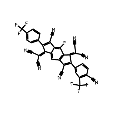 N#CC(C#N)=C1C(c2ccc(C(F)(F)F)cc2)=C(C#N)c2c1cc1c(c2F)C(=C(C#N)C#N)C(c2ccc(C#N)c(C(F)(F)F)c2)=C1C#N